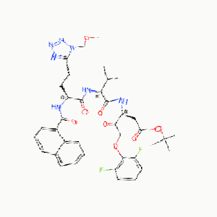 COCn1nnnc1CC[C@H](NC(=O)c1cccc2ccccc12)C(=O)N[C@H](C(=O)N[C@@H](CC(=O)OC(C)(C)C)C(=O)COc1c(F)cccc1F)C(C)C